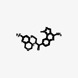 CC(C)CN(C(=O)c1ccc2nc(N)c3cnn(C)c3c2c1)[C@@H]1COCc2nc(C(F)(F)F)ccc21